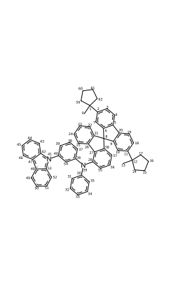 CC1(c2ccc3c(c2)C2(c4cc(C5(C)CCCC5)ccc4-3)c3ccccc3-c3c(N(c4ccccc4)c4cccc(-n5c6ccccc6c6ccccc65)c4)cccc32)CCCC1